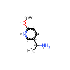 CCCOc1ccc(C(C)N)cn1